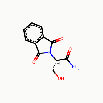 NC(=O)[C@H](CO)N1C(=O)c2ccccc2C1=O